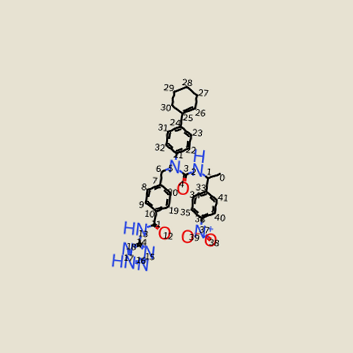 CC(NC(=O)N(Cc1ccc(C(=O)Nc2nn[nH]n2)cc1)c1ccc(C2=CCCCC2)cc1)c1ccc([N+](=O)[O-])cc1